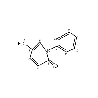 O=c1ccc(C(F)(F)F)cn1-c1ccccc1